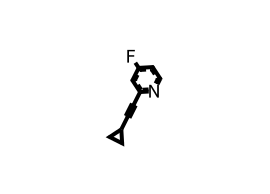 Fc1ccnc(C#CC2CC2)c1